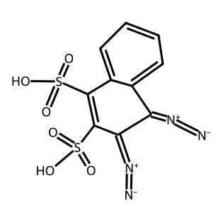 [N-]=[N+]=C1C(=[N+]=[N-])c2ccccc2C(S(=O)(=O)O)=C1S(=O)(=O)O